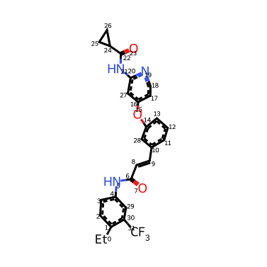 CCc1ccc(NC(=O)C=Cc2cccc(Oc3ccnc(NC(=O)C4CC4)c3)c2)cc1C(F)(F)F